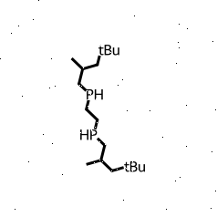 CC(CPCCPCC(C)CC(C)(C)C)CC(C)(C)C